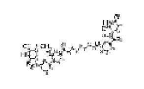 CCc1cc2c(-c3cccc(N4CCN(C(=O)CCCCCCCOc5cccc6c5CN(C5CCC(=O)NC5=O)C6=O)CC4=O)c3)cnc-2[nH]c1Cl